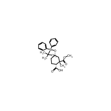 COC(=O)[C@@]1(C)C[C@@H](O[Si](c2ccccc2)(c2ccccc2)C(C)(C)C)CC[C@H]1C(=O)O